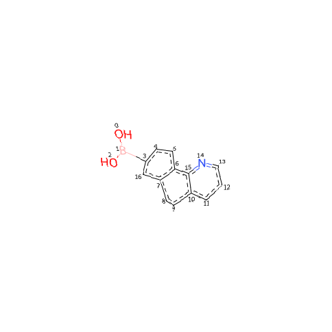 OB(O)c1ccc2c(ccc3cccnc32)c1